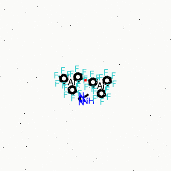 Cc1ncn[nH]1.Fc1c(F)c(F)[c]([Al]([c]2c(F)c(F)c(F)c(F)c2F)[c]2c(F)c(F)c(F)c(F)c2F)c(F)c1F.Fc1c(F)c(F)[c]([Al]([c]2c(F)c(F)c(F)c(F)c2F)[c]2c(F)c(F)c(F)c(F)c2F)c(F)c1F